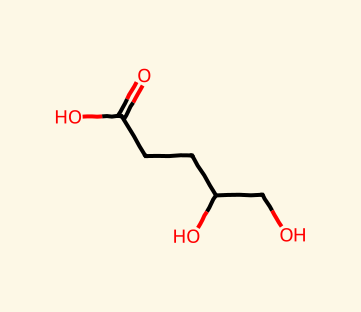 O=C(O)CCC(O)CO